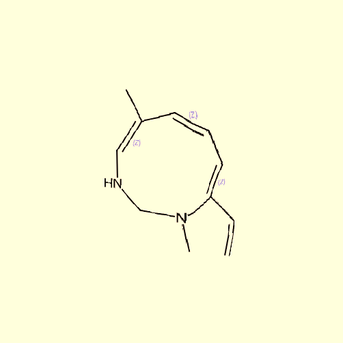 C=C/C1=C/C=C\C(C)=C/NCN1C